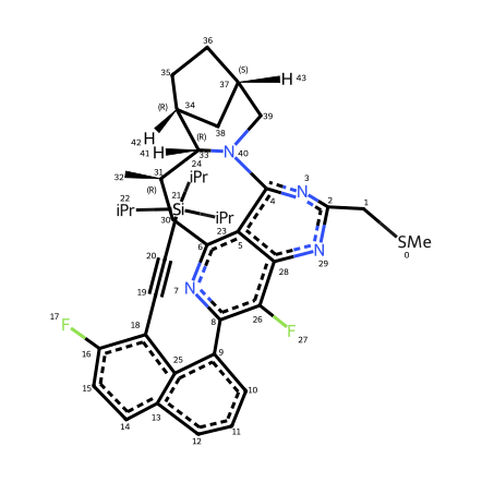 CSCc1nc2c3c(nc(-c4cccc5ccc(F)c(C#C[Si](C(C)C)(C(C)C)C(C)C)c45)c(F)c3n1)C[C@@H](C)[C@@H]1[C@@H]3CC[C@@H](C3)CN21